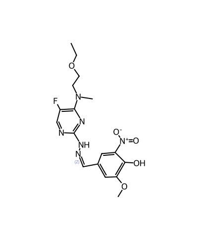 CCOCCN(C)c1nc(N/N=C\c2cc(OC)c(O)c([N+](=O)[O-])c2)ncc1F